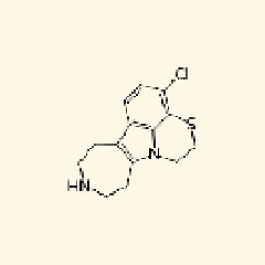 Clc1ccc2c3c(n4c2c1SCC4)CCNCC3